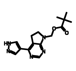 CC(C)(C)C(=O)OCN1CCc2c(-c3cn[nH]c3)ncnc21